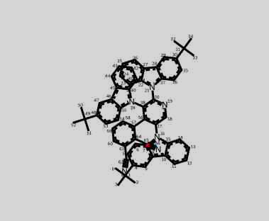 CC(C)(C)c1ccc2c(c1)c1ccccc1n2-c1cnc(-n2c3ccccc3c3cc(C(C)(C)C)ccc32)c(-n2c3ccccc3c3cc(C(C)(C)C)ccc32)c1-c1cccc(C#N)c1C#N